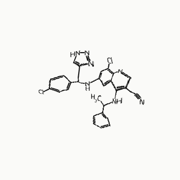 CC(Nc1c(C#N)cnc2c(Cl)cc(NC(c3ccc(Cl)cc3)c3c[nH]nn3)cc12)c1ccccc1